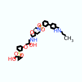 CCCCNCc1ccc(-c2cccc(S(=O)(=O)N3CCC4(CC3)CC(NCC(O)COc3cccc(S(=O)(=O)C5(CO)CC5)c3)CO4)c2)cc1